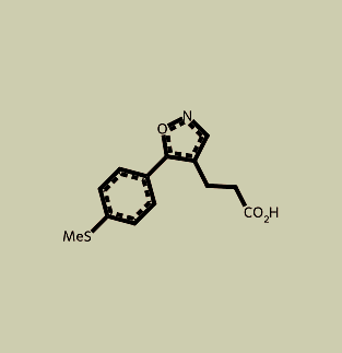 CSc1ccc(-c2oncc2CCC(=O)O)cc1